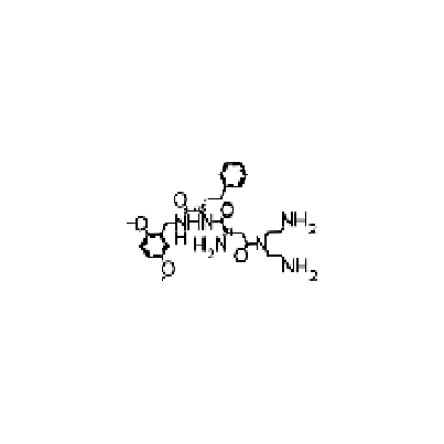 COc1ccc(OC)c(CNC(=O)[C@H](CCc2ccccc2)NC(=O)[C@@H](N)CC(=O)N(CCN)CCN)c1